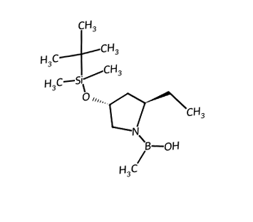 CC[C@@H]1C[C@@H](O[Si](C)(C)C(C)(C)C)CN1B(C)O